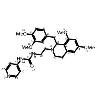 COc1cc2c(c(OC)c1)C(Cc1ccc(OC)c(OC)c1)N(CCNC(=O)Nc1ccncc1)CC2